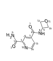 NC(=O)c1[c]c(C(=O)NC2COC2)ccn1